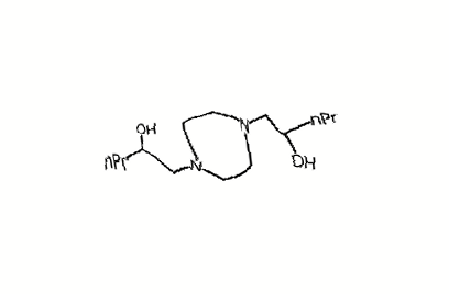 CCCC(O)CN1CCN(CC(O)CCC)CC1